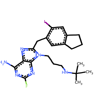 CC(C)(C)NCCCn1c(Cc2cc3c(cc2I)CCC3)nc2c(N)nc(F)nc21